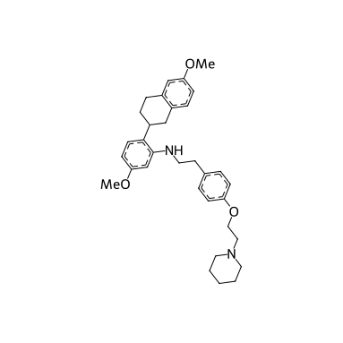 COc1ccc2c(c1)CCC(c1ccc(OC)cc1NCCc1ccc(OCCN3CCCCC3)cc1)C2